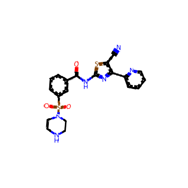 N#Cc1sc(NC(=O)c2cccc(S(=O)(=O)N3CCNCC3)c2)nc1-c1ccccn1